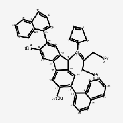 CC(C)C[C](CC(C)C)=[Zr]([C]1=CC=CC1)[CH]1c2cc(-c3cccc4ccccc34)c(C(C)(C)C)cc2-c2cc(C(C)(C)C)c(-c3cccc4ccccc34)cc21